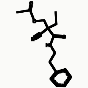 CCC(C#N)(COC(C)=O)C(=O)NCCc1ccccc1